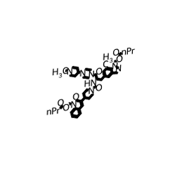 CCCC(=O)OCn1ncc2cc(CC(NC(=O)N3CCC(c4cc5ccccc5n(COC(=O)CCC)c4=O)CC3)C(=O)N3CCN(C4CCN(C)CC4)CC3)cc(C)c21